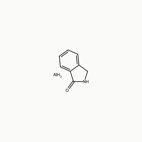 O=C1NCc2ccccc21.[AlH3]